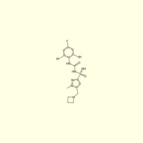 CC(C)c1cc(F)cc(C(C)C)c1NC(=O)NS(=N)(=O)c1cc(CN2CCC2)n(C)n1